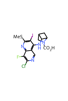 CSc1nc2c(F)c(Cl)ncc2c(NC2C3CC2N(C(=O)O)C3)c1I